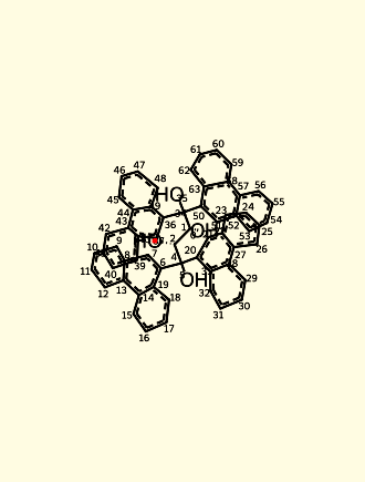 O[C@H]([C@@H](O)C(O)(c1cc2ccccc2c2ccccc12)c1cc2ccccc2c2ccccc12)C(O)(c1cc2ccccc2c2ccccc12)c1cc2ccccc2c2ccccc12